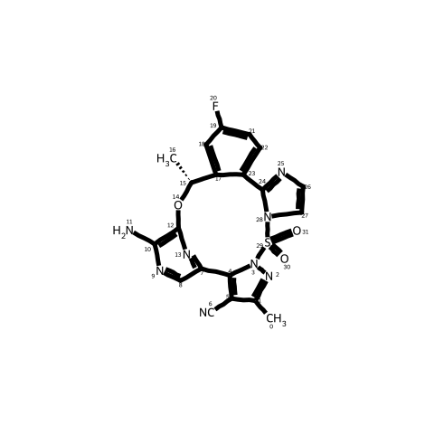 Cc1nn2c(c1C#N)-c1cnc(N)c(n1)O[C@H](C)c1cc(F)ccc1-c1nccn1S2(=O)=O